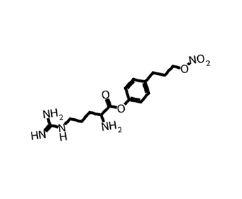 N=C(N)NCCCC(N)C(=O)Oc1ccc(CCCO[N+](=O)[O-])cc1